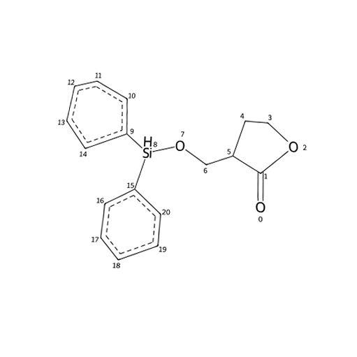 O=C1OCCC1CO[SiH](c1ccccc1)c1ccccc1